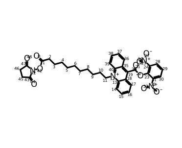 O=C(CCCCCCCCCC[n+]1c2ccccc2c(C(=O)Oc2c([N+](=O)[O-])cccc2[N+](=O)[O-])c2ccccc21)ON1C(=O)CCC1=O